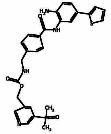 CP(C)(=O)c1cncc(COC(=O)NCc2ccc(C(=O)Nc3cc(-c4cccs4)ccc3N)cc2)c1